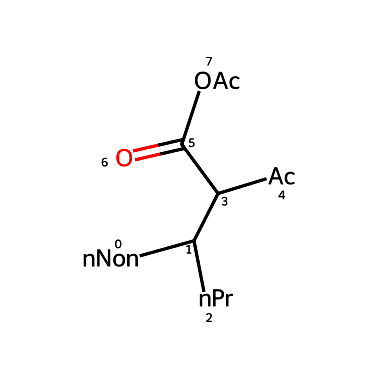 CCCCCCCCCC(CCC)C(C(C)=O)C(=O)OC(C)=O